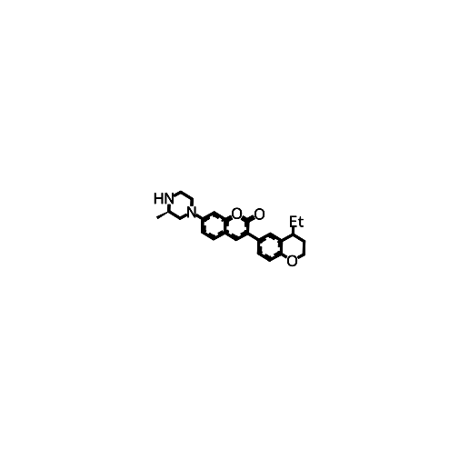 CCC1CCOc2ccc(-c3cc4ccc(N5CCN[C@H](C)C5)cc4oc3=O)cc21